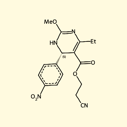 CCC1=C(C(=O)OCCC#N)[C@H](c2ccc([N+](=O)[O-])cc2)NC(OC)=N1